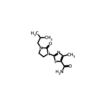 Cc1nc(N2CCN(CC(C)C)C2=O)sc1C(N)=O